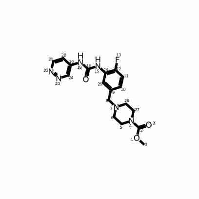 COC(=O)N1CCN(Cc2ccc(F)c(NC(=O)Nc3ccnnc3)c2)CC1